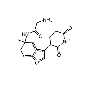 CC1(NC(=O)CN)C=c2c(C3CCC(=O)NC3=O)coc2=CC1